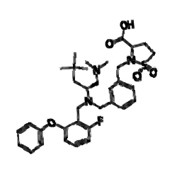 CN(C)C[C@H](CC(C)(C)C)N(Cc1cccc(CN2C(C(=O)O)CCS2(=O)=O)c1)Cc1c(F)cccc1Oc1ccccc1